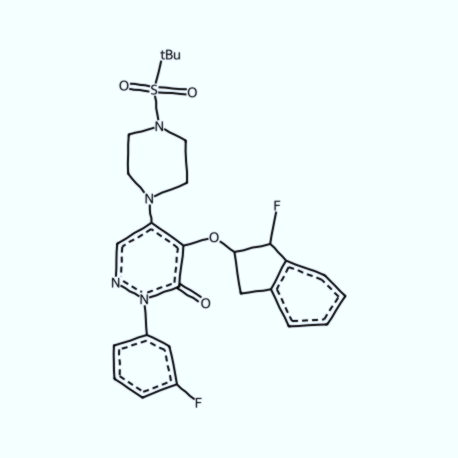 CC(C)(C)S(=O)(=O)N1CCN(c2cnn(-c3cccc(F)c3)c(=O)c2OC2Cc3ccccc3C2F)CC1